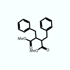 COC(=O)C(Cc1ccccc1)C(Cc1ccccc1)C(=O)OC